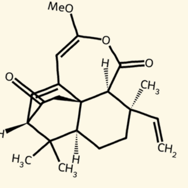 C=C[C@@]1(C)CC[C@H]2C(C)(C)[C@@H]3C=C4C=C(OC)OC(=O)[C@@H]1[C@@]42CC3=O